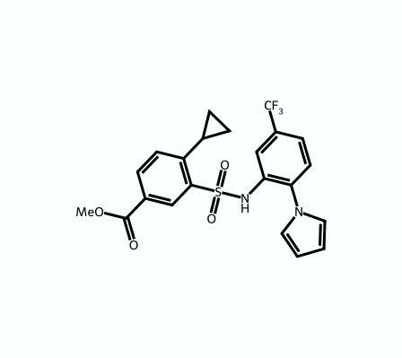 COC(=O)c1ccc(C2CC2)c(S(=O)(=O)Nc2cc(C(F)(F)F)ccc2-n2cccc2)c1